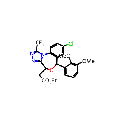 CCOC(=O)CC1OC(c2cccc(OC)c2OC)c2cc(Cl)ccc2-n2c1nnc2C(F)(F)F